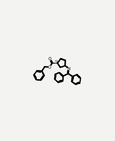 O=C(OCc1ccccc1)[C@H]1CCC(N=C(c2ccccc2)c2ccccc2)C1